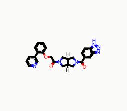 O=C(COc1ccccc1-c1cccnc1)N1C[C@H]2CN(C(=O)c3ccc4[nH]nnc4c3)C[C@@H]2C1